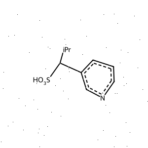 [CH2]C(C)C(c1cccnc1)S(=O)(=O)O